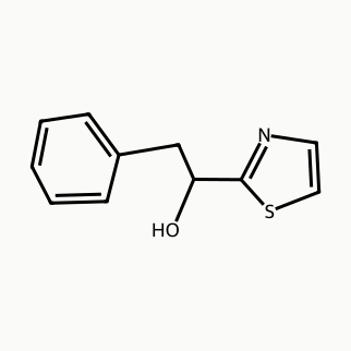 OC(Cc1ccccc1)c1nccs1